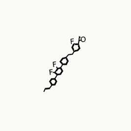 C/C=C/c1ccc(-c2ccc(-c3ccc(CCc4ccc(C5CO5)c(F)c4)cc3)c(F)c2F)cc1